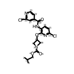 CC(C)COC(=O)N1CC(Oc2nc(Cl)ccc2NC(=O)c2ccnc(Cl)c2)C1